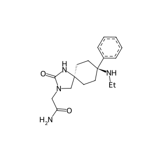 CCN[C@]1(c2ccccc2)CC[C@]2(CC1)CN(CC(N)=O)C(=O)N2